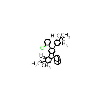 CC(C)(C)c1ccc(-c2cc3c(cc2-c2ccccc2Cl)-c2cc(C(C)(C)C)ccc2C32C3CC4CC(C3)CC2C4)cc1